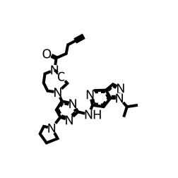 C#CCCC(=O)N1CCCN(c2cc(N3CCCC3)nc(Nc3cc4c(cn3)cnn4C(C)C)n2)CC1